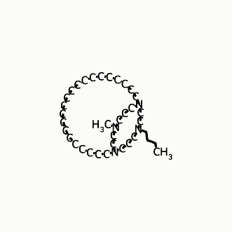 CCCCN1CCCN2CCCCCCCCCCCCCCCCCCCCCN(CCCN(C)CC2)CC1